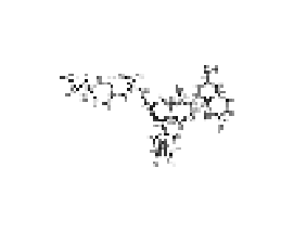 CC1(O)CC2(CCN(CC3(COc4nc(N5CC6CCC(C5)N6)c5cc(F)c(-c6cc(O)cc7ccc(F)c(F)c67)c(F)c5n4)CC3)CC2)C1